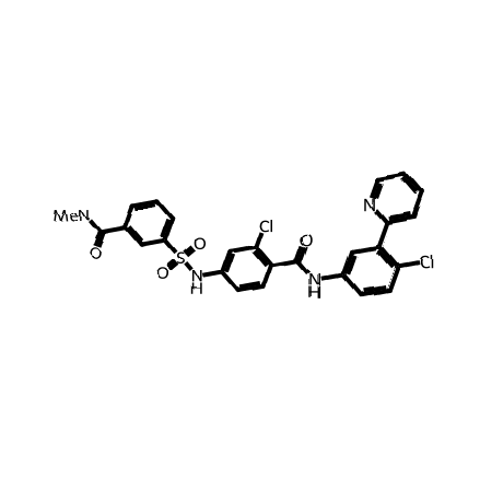 CNC(=O)c1cccc(S(=O)(=O)Nc2ccc(C(=O)Nc3ccc(Cl)c(-c4ccccn4)c3)c(Cl)c2)c1